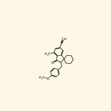 C#Cc1cc(C)c2c(c1)C1(CCCCC1)N(Cc1ccc(OC)cc1)C2=O